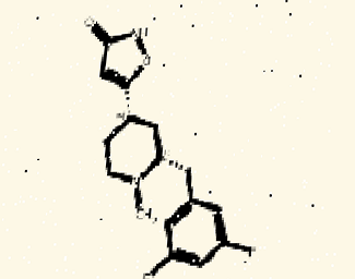 CN1CC[C@H](c2cc(=O)[nH]o2)C[C@@H]1Cc1cc(F)cc(F)c1